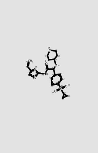 C=Cc1csc(NC(=O)C(OC2CCOCC2)c2ccc(S(=O)(=O)C3CC3)cc2)n1